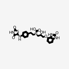 O=C1NC(=O)C(Nc2ccc(CCN(C[C@@H](O)COc3cccc4[nH]c(=O)[nH]c34)C(=O)O)cc2)S1